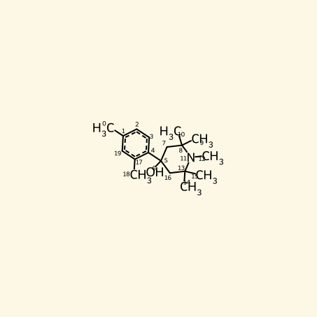 Cc1ccc(C2(O)CC(C)(C)N(C)C(C)(C)C2)c(C)c1